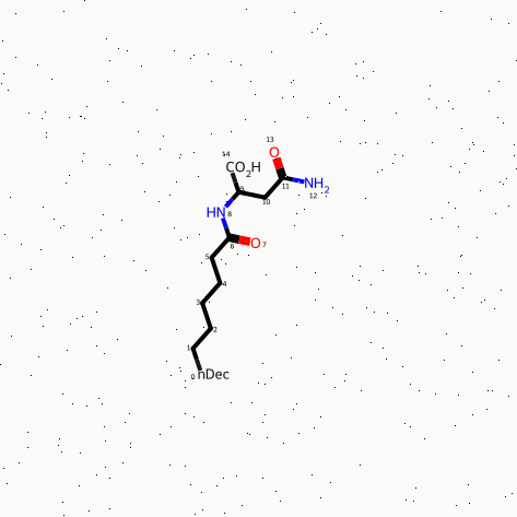 CCCCCCCCCCCCCCCC(=O)NC(CC(N)=O)C(=O)O